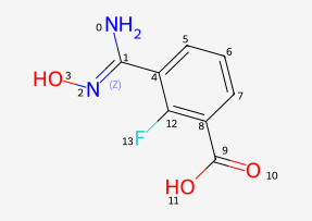 N/C(=N\O)c1cccc(C(=O)O)c1F